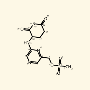 CS(=O)(=O)OCc1cncc(NC2CCC(=O)NC2=O)n1